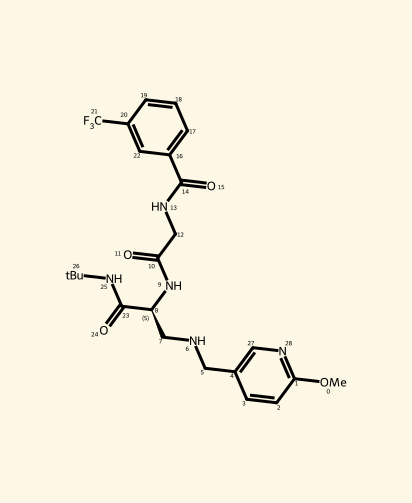 COc1ccc(CNC[C@H](NC(=O)CNC(=O)c2cccc(C(F)(F)F)c2)C(=O)NC(C)(C)C)cn1